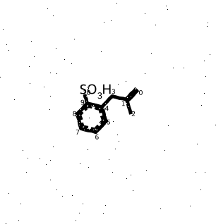 C=C(C)Cc1ccccc1S(=O)(=O)O